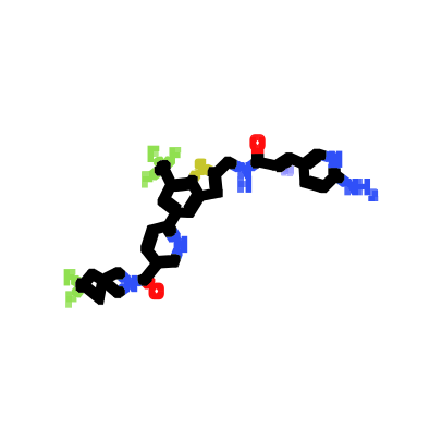 Nc1ccc(/C=C/C(=O)NCc2cc3cc(-c4ccc(C(=O)N5CC6(C5)CC(F)(F)C6)cn4)cc(C(F)(F)F)c3s2)cn1